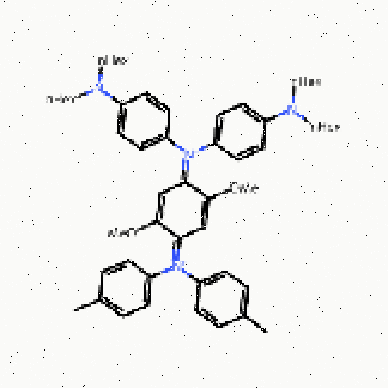 CCCCCCN(CCCCCC)c1ccc([N+](=C2C=C(OC)C(=[N+](c3ccc(C)cc3)c3ccc(C)cc3)C=C2OC)c2ccc(N(CCCCCC)CCCCCC)cc2)cc1